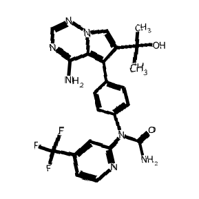 CC(C)(O)c1cn2ncnc(N)c2c1-c1ccc(N(C(N)=O)c2cc(C(F)(F)F)ccn2)cc1